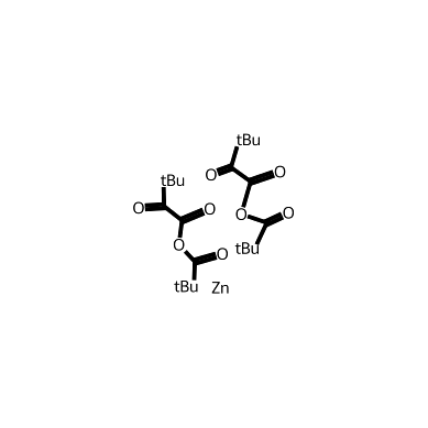 CC(C)(C)C(=O)OC(=O)C(=O)C(C)(C)C.CC(C)(C)C(=O)OC(=O)C(=O)C(C)(C)C.[Zn]